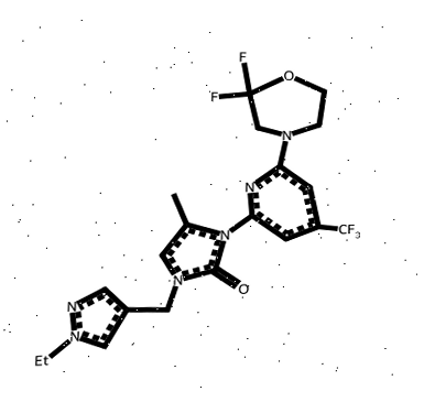 CCn1cc(Cn2cc(C)n(-c3cc(C(F)(F)F)cc(N4CCOC(F)(F)C4)n3)c2=O)cn1